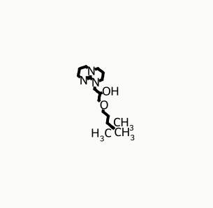 CC(C)(C)CCCOCC(O)CN1CCCN2CCCN=C21